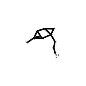 CC1=C2C1C1CC21CCN